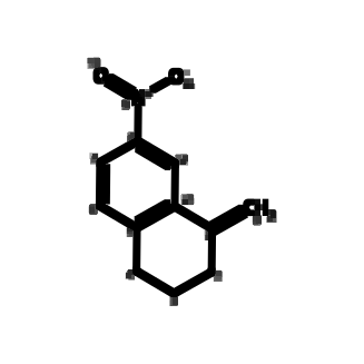 C=C1CCCc2ccc([N+](=O)[O-])cc21